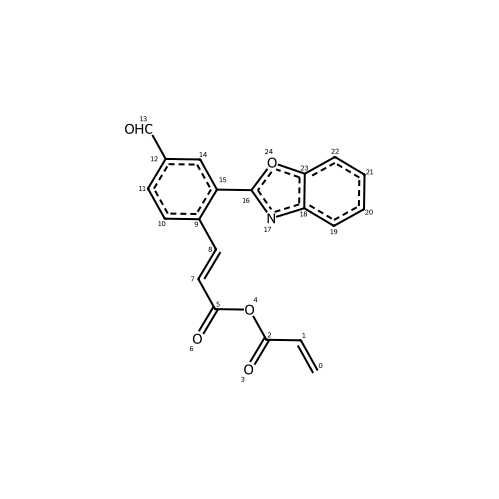 C=CC(=O)OC(=O)C=Cc1ccc(C=O)cc1-c1nc2ccccc2o1